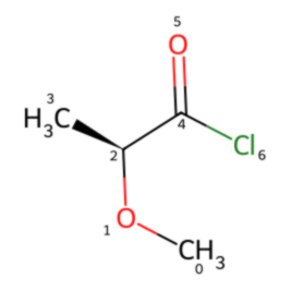 CO[C@@H](C)C(=O)Cl